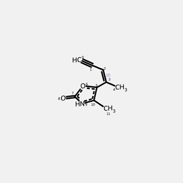 C#C/C=C(/C)c1oc(=O)[nH]c1C